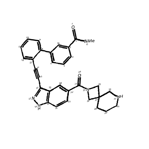 CNC(=O)c1cccc(-c2ccccc2C#Cc2n[nH]c3ccc(C(=O)N4CC5(CCCNC5)C4)cc23)c1